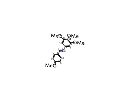 COc1ccc(/C=N/c2cc(OC)c(OC)c(OC)c2)cc1